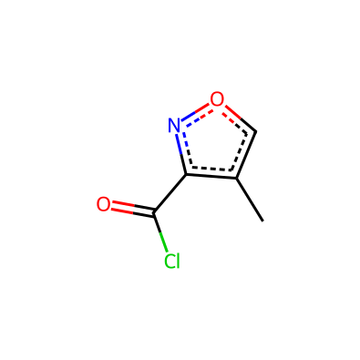 Cc1conc1C(=O)Cl